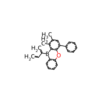 C=CC(=C)B1c2ccccc2Oc2c(-c3ccccc3)cc(C)c(C)c21